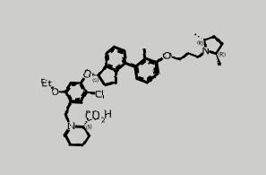 CCOc1cc(O[C@H]2CCc3c(-c4cccc(OCCCN5[C@H](C)CC[C@H]5C)c4C)cccc32)c(Cl)cc1CN1CCCC[C@H]1C(=O)O